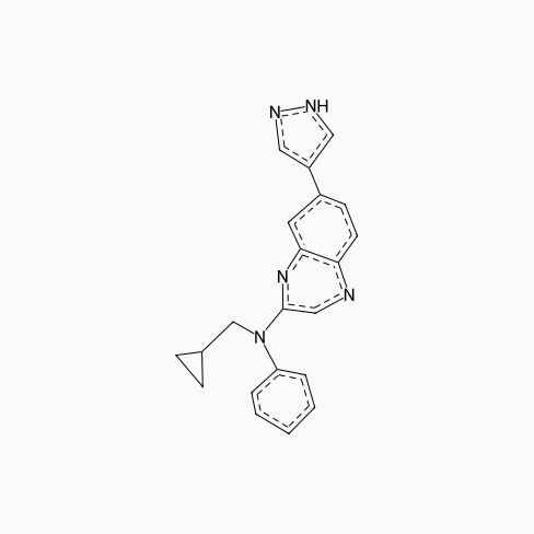 c1ccc(N(CC2CC2)c2cnc3ccc(-c4cn[nH]c4)cc3n2)cc1